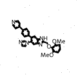 COc1cccc(OC)c1OCc1nc2cc(-n3ccnc3)c(-c3ccc(-c4ccncc4)cc3)cc2[nH]1